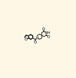 O=C1CC2(CCN(C(=O)c3ccc4ccoc4c3)CC2)CC(=O)N1